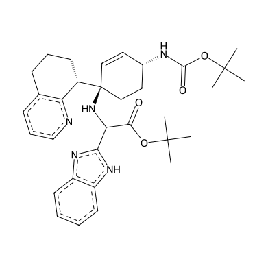 CC(C)(C)OC(=O)N[C@H]1C=C[C@@](NC(C(=O)OC(C)(C)C)c2nc3ccccc3[nH]2)([C@H]2CCCc3cccnc32)CC1